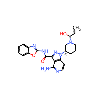 C=CC(O)N1CCC[C@@H](n2nc(C(=O)Nc3nc4ccccc4o3)c3c(N)nccc32)C1